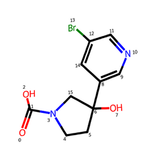 O=C(O)N1CCC(O)(c2cncc(Br)c2)C1